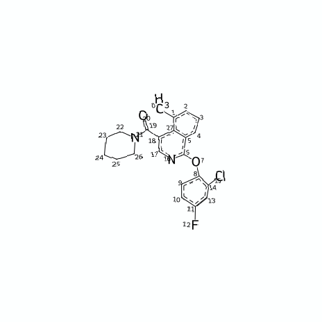 Cc1cccc2c(Oc3ccc(F)cc3Cl)ncc(C(=O)N3CCCCC3)c12